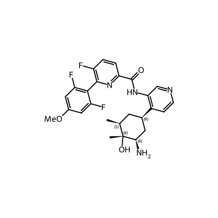 COc1cc(F)c(-c2nc(C(=O)Nc3cnccc3[C@H]3C[C@@H](N)[C@](C)(O)[C@@H](C)C3)ccc2F)c(F)c1